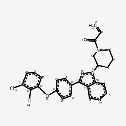 C=CC(=O)N1CCCC(n2nc(-c3ccc(Oc4cccc(Cl)c4Cl)cc3)c3cnccc32)C1